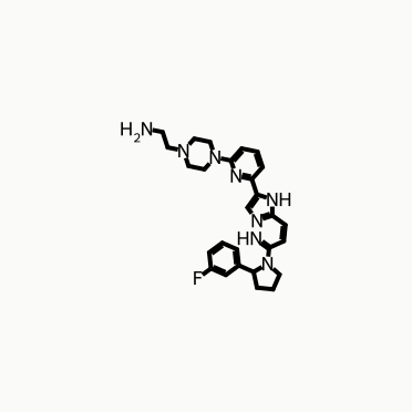 N=C(/C=C\c1ncc(-c2cccc(N3CCN(CCN)CC3)n2)[nH]1)N1CCCC1c1cccc(F)c1